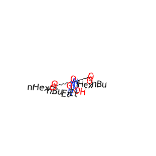 CCCCCCC(CCCC)COC(=O)CCCCCCCCC(C(=O)NCCCCCCCC(=O)OCC(CCCC)CCCCCC)N(CCCO)C(=O)CCN(CC)CC